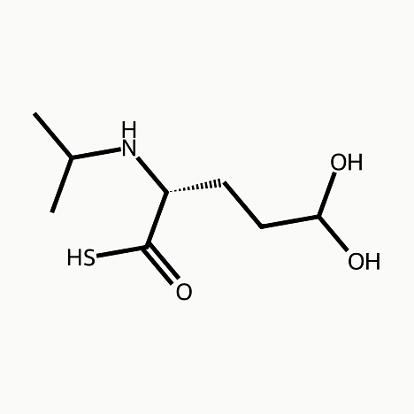 CC(C)N[C@H](CCC(O)O)C(=O)S